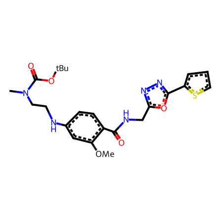 COc1cc(NCCN(C)C(=O)OC(C)(C)C)ccc1C(=O)NCc1nnc(-c2cccs2)o1